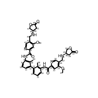 COc1cc(C(=O)Nc2cccc(-c3cccc(NC(=O)c4cc(OC)c(CN[C@H]5COC(=O)C5)cn4)c3C)c2C)ncc1CN[C@H]1COC(=O)C1